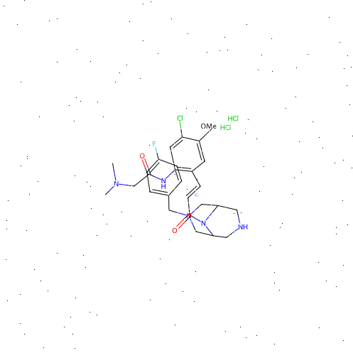 COc1cc(/C=C/C(=O)N2C3CNCC2CN(Cc2ccc(F)cc2)C3)c(NC(=O)CN(C)C)cc1Cl.Cl.Cl